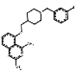 Nc1nc(N)c2c(OCC3CCN(Cc4cccc(I)c4)CC3)cccc2n1